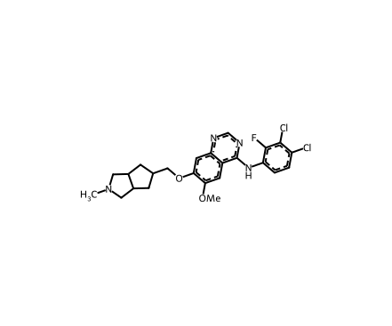 COc1cc2c(Nc3ccc(Cl)c(Cl)c3F)ncnc2cc1OCC1CC2CN(C)CC2C1